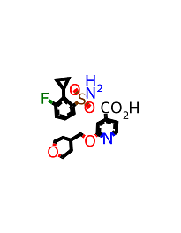 NS(=O)(=O)c1cccc(F)c1C1CC1.O=C(O)c1ccnc(OCC2CCOCC2)c1